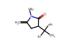 C=C1CC(C(C)(CC)CCC)C(=O)N1CCCC